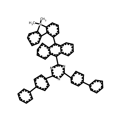 C[Si]1(C)c2ccccc2-c2c(-c3c4ccccc4c(-c4nc(-c5ccc(-c6ccccc6)cc5)nc(-c5ccc(-c6ccccc6)cc5)n4)c4ccccc34)cccc21